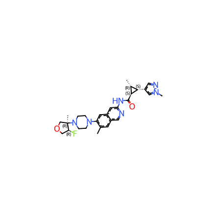 Cc1cc2cnc(NC(=O)[C@H]3[C@H](C)[C@@H]3c3cnn(C)c3)cc2cc1N1CCN([C@]2(C)COC[C@@H]2F)CC1